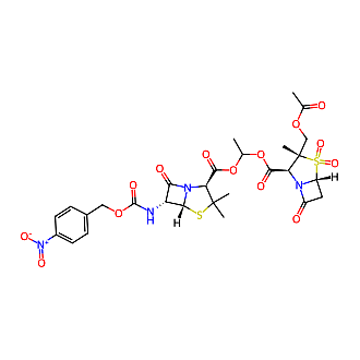 CC(=O)OC[C@@]1(C)[C@H](C(=O)OC(C)OC(=O)[C@@H]2N3C(=O)[C@@H](NC(=O)OCc4ccc([N+](=O)[O-])cc4)[C@H]3SC2(C)C)N2C(=O)C[C@H]2S1(=O)=O